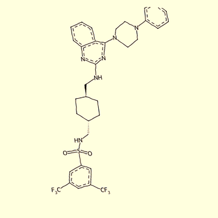 O=S(=O)(NC[C@H]1CC[C@H](CNc2nc(N3CCN(c4ccccc4)CC3)c3ccccc3n2)CC1)c1cc(C(F)(F)F)cc(C(F)(F)F)c1